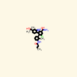 C/C=C/C(=O)Nc1cccc(-c2c(Cl)cc(C(N)O)c3[nH]c4cc(C(C)(C)O)ccc4c23)c1C